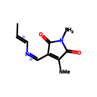 BN1C(=O)C(/C=N\C=C\C)=C(NC)C1=O